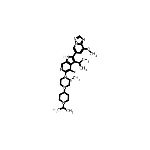 COc1cc(-c2[nH]c3cnc(N4CCN(C5CCN(C(C)C)CC5)C[C@H]4C)c(F)c3c2C(C)C)cn2ncnc12